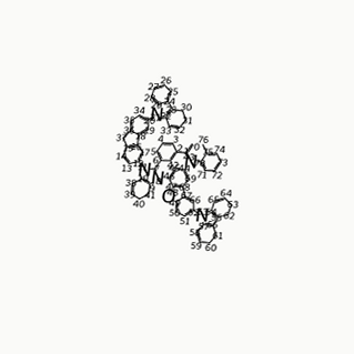 C=C(c1cccc(-c2nc3c(n2-c2ccc4c(c2)-c2cc(-n5c6c(c7ccccc75)CCC=C6)ccc2C4)C=CCC3)c1)N(c1ccc2oc3ccc(-n4c5c(c6c4C=CCC6)CCC=C5)cc3c2c1)c1ccccc1C